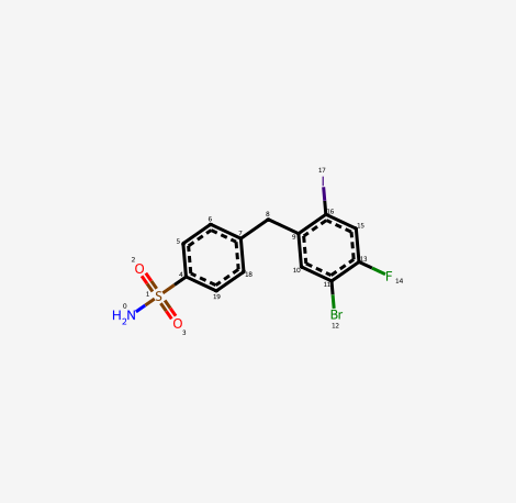 NS(=O)(=O)c1ccc(Cc2cc(Br)c(F)cc2I)cc1